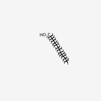 O=C(O)C(I)(I)C(I)(I)C(I)(I)C(I)(I)C(I)(I)C(I)(I)C(I)(I)C(I)(I)C(I)(I)C(I)(I)C(I)(I)C(I)(I)I